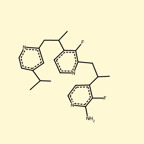 CC(C)c1ccnc(CC(C)c2ccnc(CC(C)c3ccnc(N)c3F)c2F)c1